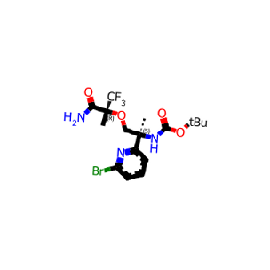 CC(C)(C)OC(=O)N[C@](C)(CO[C@](C)(C(N)=O)C(F)(F)F)c1cccc(Br)n1